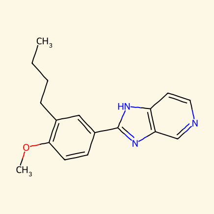 CCCCc1cc(-c2nc3cnccc3[nH]2)ccc1OC